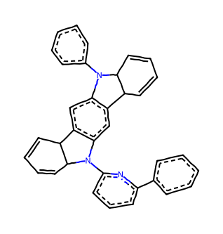 C1=CC2c3cc4c(cc3N(c3ccccc3)C2C=C1)C1C=CC=CC1N4c1cccc(-c2ccccc2)n1